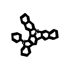 c1ccc(-n2c3ccccc3c3cc4c5cc6ccccc6cc5n5c6cc7ccccc7cc6c(c32)c45)cc1